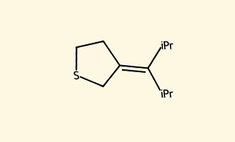 CC(C)C(=C1CCSC1)C(C)C